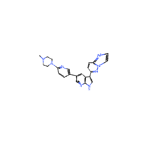 CN1CCN(c2ccc(-c3cnc4[nH]cc(-c5ccc6nccn6n5)c4c3)cn2)CC1